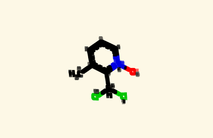 Cc1ccc[n+]([O-])c1[SiH](Cl)Cl